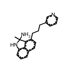 CC1(N)Nc2cccc3ccc(CCCc4cccnc4)c1c23